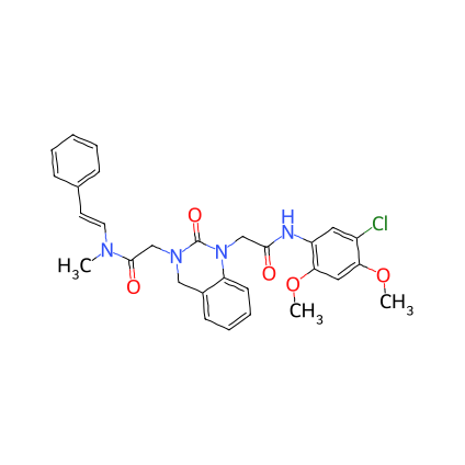 COc1cc(OC)c(NC(=O)CN2C(=O)N(CC(=O)N(C)C=Cc3ccccc3)Cc3ccccc32)cc1Cl